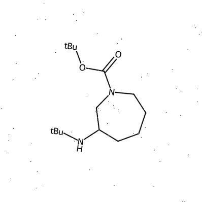 CC(C)(C)NC1CCCCN(C(=O)OC(C)(C)C)C1